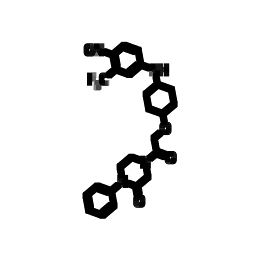 O=Nc1ccc(NC2CCC(OCC(=O)N3CCN(c4ccccc4)C(=O)C3)CC2)cc1C(F)(F)F